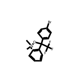 C[Si](C)(C)OC(c1ccccc1)(c1ccc(Br)cc1)C(F)(F)F